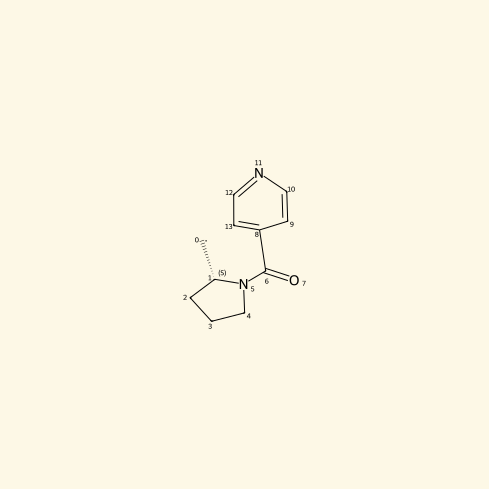 [CH2][C@H]1CCCN1C(=O)c1ccncc1